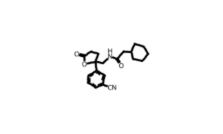 N#Cc1cccc(C2(CNC(=O)CC3CCCCC3)CCC(=O)O2)c1